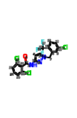 O=C(Nc1ccn(Cc2cc(Cl)ccc2C(F)(F)F)n1)c1c(Cl)cccc1Cl